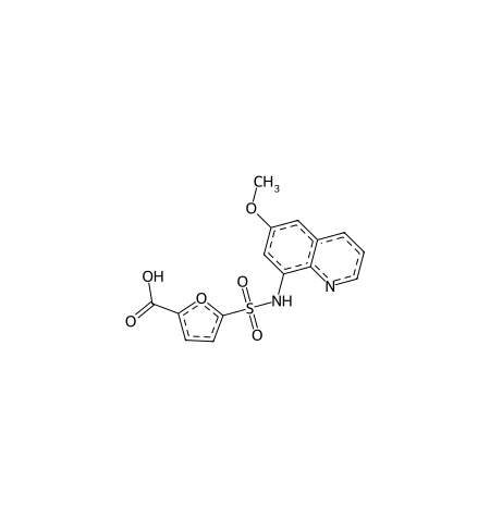 COc1cc(NS(=O)(=O)c2ccc(C(=O)O)o2)c2ncccc2c1